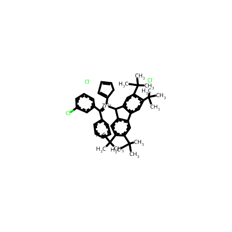 CC(C)(C)c1cc2c(cc1C(C)(C)C)[CH](/[Zr+2]([C]1=CC=CC1)=[C](\c1ccccc1)c1cccc(Cl)c1)c1cc(C(C)(C)C)c(C(C)(C)C)cc1-2.[Cl-].[Cl-]